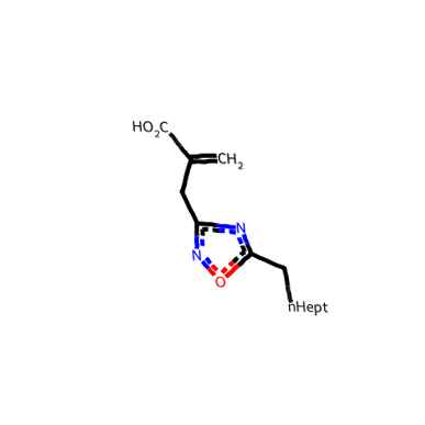 C=C(Cc1noc(CCCCCCCC)n1)C(=O)O